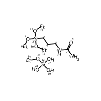 CCO[Si](CCCNC(N)=O)(OCC)OCC.CCO[Si](O)(O)O